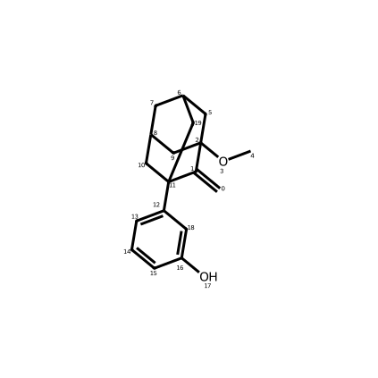 C=C1C2(OC)CC3CC(C2)CC1(c1cccc(O)c1)C3